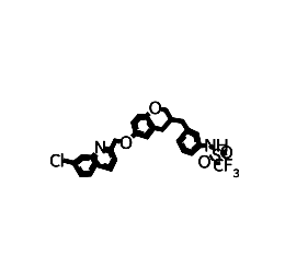 O=S(=O)(Nc1cccc(CC2COc3ccc(OCc4ccc5ccc(Cl)cc5n4)cc3C2)c1)C(F)(F)F